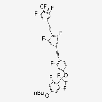 CCCCOc1cc(F)c(C(F)(F)Oc2ccc(C#Cc3cc(F)c(C#Cc4cc(F)c(C(F)(F)F)c(F)c4)c(F)c3)c(F)c2)c(F)c1